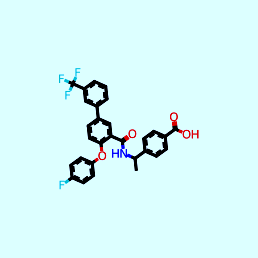 CC(NC(=O)c1cc(-c2cccc(C(F)(F)F)c2)ccc1Oc1ccc(F)cc1)c1ccc(C(=O)O)cc1